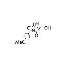 COc1ccc([C@H]2OC[C@@H]3[C@H]4[C@H](CO)[C@H]4C(=O)N23)cc1